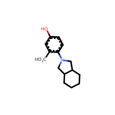 O=C(O)c1cc(O)ccc1N1CC2CCCCC2C1